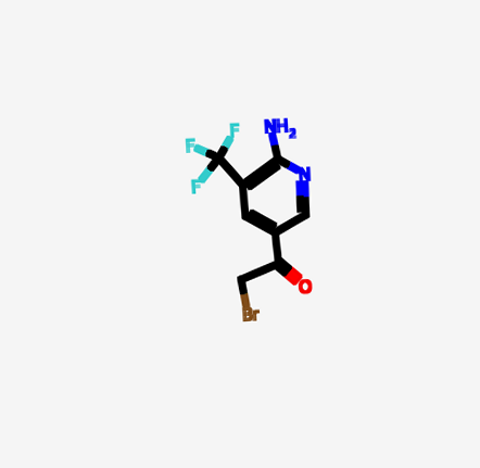 Nc1ncc(C(=O)CBr)cc1C(F)(F)F